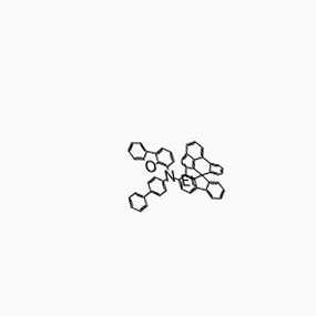 CCc1ccc2cccc3c2c1C1(c2ccccc2-c2ccc(N(c4ccc(-c5ccccc5)cc4)c4cccc5c4oc4ccccc45)cc21)c1ccccc1-3